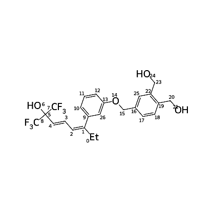 CC/C(=C/C=C/C(O)(C(F)(F)F)C(F)(F)F)c1cccc(OCc2ccc(CO)c(CO)c2)c1